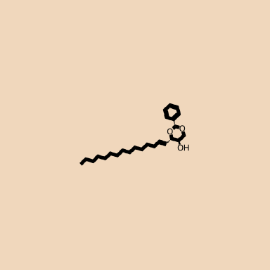 CCCCCCCCCCCCCC=C[C@@H]1O[C@H](c2ccccc2)OC[C@H]1O